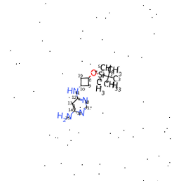 CC(C)(C)[Si](C)(C)O[C@H]1C[C@H](Nc2cc(N)ncn2)C1